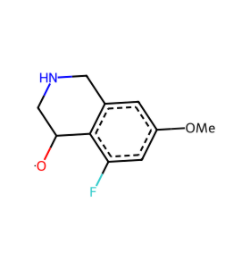 COc1cc(F)c2c(c1)CNCC2[O]